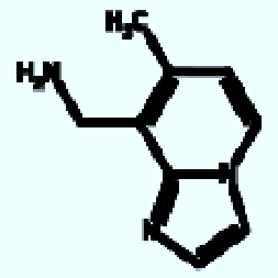 Cc1ccn2ccnc2c1CN